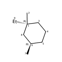 CC[C@]1(C)CCC[C@@H](C)C1